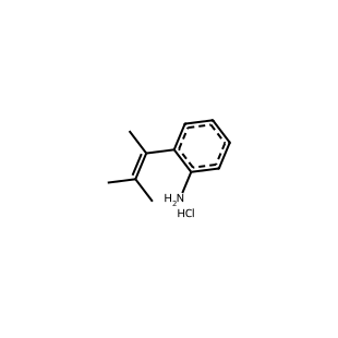 CC(C)=C(C)c1ccccc1N.Cl